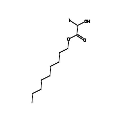 CCCCCCCCCOC(=O)C(O)I